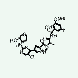 COc1cc(F)cc([C@@H](CO)NC(=O)[C@@H](C)n2cnn3cc(-c4nc(N[C@@H]5CCOC[C@@H]5O)ncc4Cl)cc3c2=O)c1